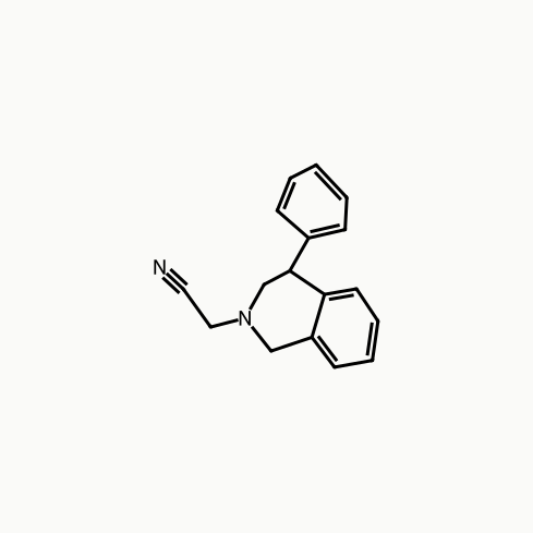 N#CCN1Cc2ccccc2C(c2ccccc2)C1